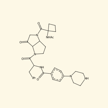 CC(=O)NC1(C(=O)N2CC(=O)C3C2CCN3C(=O)C(CC(C)C)NC(=O)c2ccc(N3CCNCC3)cc2)CCC1